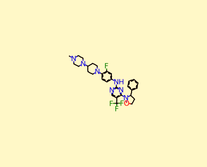 CN1CCN(C2CCN(c3ccc(Nc4ncc(C(F)(F)F)c(N5OCCC5c5ccccc5)n4)cc3F)CC2)CC1